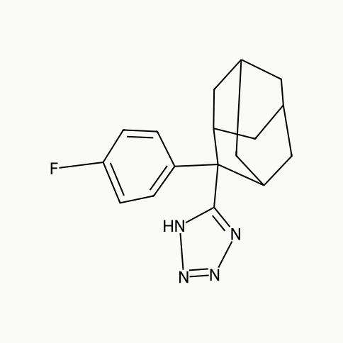 Fc1ccc(C2(c3nnn[nH]3)C3CC4CC(C3)CC2C4)cc1